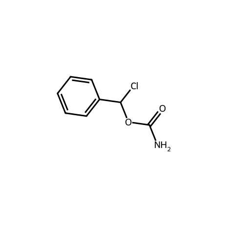 NC(=O)OC(Cl)c1ccccc1